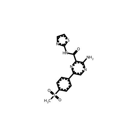 CS(=O)(=O)c1ccc(-c2cnc(N)c(C(=O)Nc3nccs3)n2)cc1